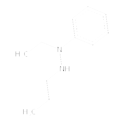 CCCNN(CC)c1ccccc1